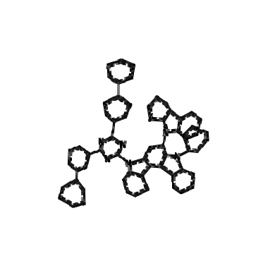 c1ccc(-c2ccc(-c3nc(-c4cccc(-c5ccccc5)c4)nc(-n4c5ccccc5c5c6c7ccccc7n(-c7ccccc7)c6c(-n6c7ccccc7c7ccccc76)cc54)n3)cc2)cc1